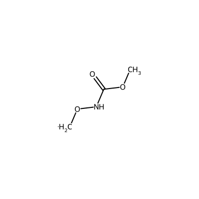 [CH2]ONC(=O)OC